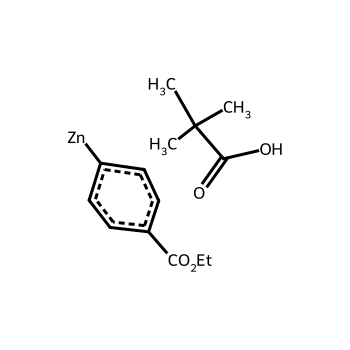 CC(C)(C)C(=O)O.CCOC(=O)c1cc[c]([Zn])cc1